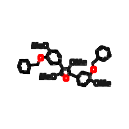 COc1ccc(-c2oc(OC)c(-c3ccc(OC)c(OCc4ccccc4)c3)c2OC)cc1OCc1ccccc1